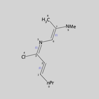 CCC/C=C/C(Cl)=N\C=C(/C)NC